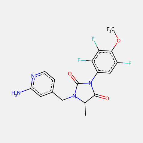 CC1C(=O)N(c2cc(F)c(OC(F)(F)F)c(F)c2F)C(=O)N1Cc1ccnc(N)c1